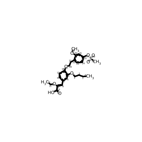 CCCCOc1cc(C=C(OCC)C(=O)O)ccc1OCCc1ccc(OS(C)(=O)=O)cc1OC